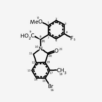 COc1ccc(F)cc1[C@H](C(=O)O)N1Cc2ccc(Br)c(C)c2C1=O